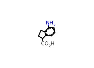 Nc1cccc2c1CCC2C(=O)O